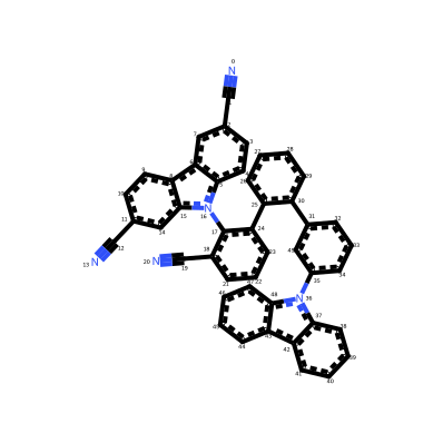 N#Cc1ccc2c(c1)c1ccc(C#N)cc1n2-c1c(C#N)cccc1-c1ccccc1-c1cccc(-n2c3ccccc3c3ccccc32)c1